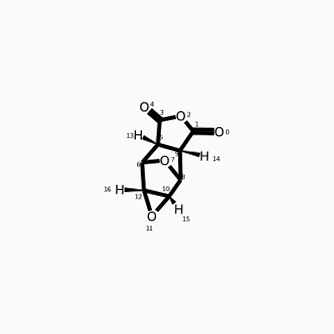 O=C1OC(=O)[C@H]2C3OC([C@@H]12)[C@@H]1O[C@H]31